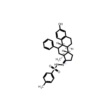 Cc1ccc(S(=O)(=O)N/N=C2/CC[C@H]3[C@@H]4CCc5cc(O)ccc5[C@H]4C(c4ccccc4)C[C@]23C)cc1